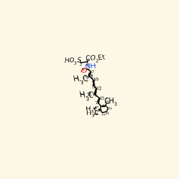 CCOC(=O)[C@H](CS(=O)(=O)O)NC(=O)/C=C(C)/C=C/C=C(C)/C=C/C1=C(C)CCCC1(C)C